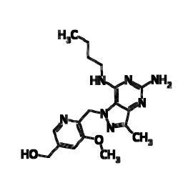 CCCCNc1nc(N)nc2c(C)nn(Cc3ncc(CO)cc3OC)c12